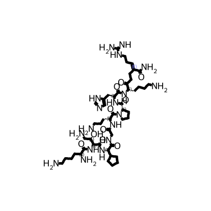 N=C(N)NCC/C=C(\CCC(=O)[C@H](CCCCN)NC(=O)[C@H](Cc1cnc[nH]1)NC(=O)[C@@H]1CCCN1C(=O)[C@@H](CCCN)NC(=O)CNC(=O)[C@@H](NC(=O)[C@@H](NC(=O)[C@@H](N)CCCCN)[C@@H](O)CN)C1CCCC1)C(N)=O